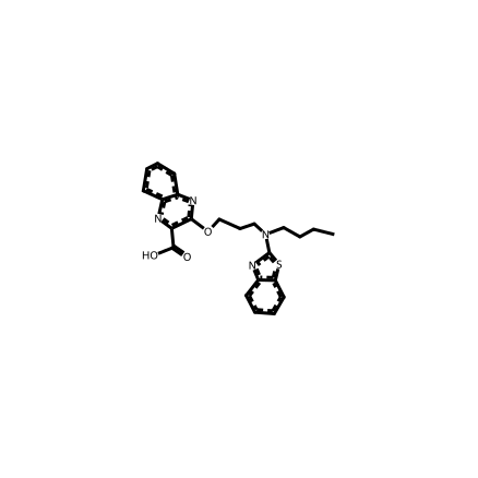 CCCCN(CCCOc1nc2ccccc2nc1C(=O)O)c1nc2ccccc2s1